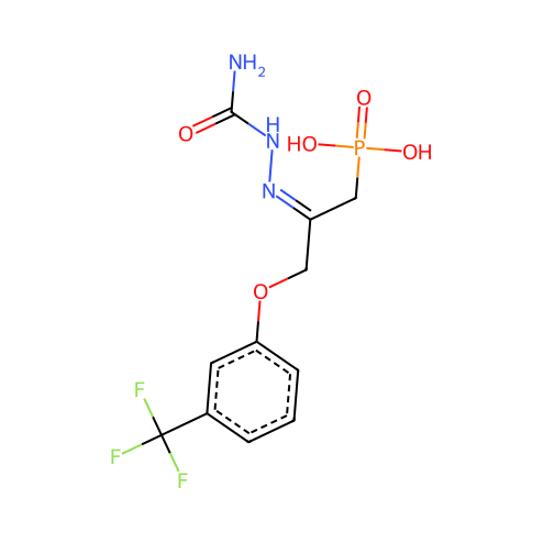 NC(=O)NN=C(COc1cccc(C(F)(F)F)c1)CP(=O)(O)O